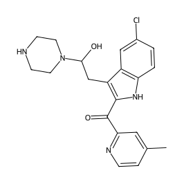 Cc1ccnc(C(=O)c2[nH]c3ccc(Cl)cc3c2CC(O)N2CCNCC2)c1